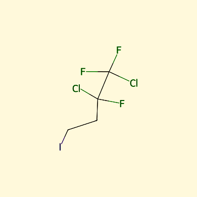 FC(F)(Cl)C(F)(Cl)CCI